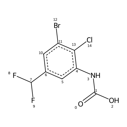 O=C(O)Nc1cc(C(F)F)cc(Br)c1Cl